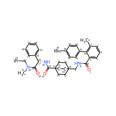 Cc1cccc(C(=O)NCC23CCC(C(=O)N[C@H](C(=O)N(C)CC(C)C)c4ccccc4)(CC2)CC3)c1-c1ccc(C(C)(C)C)cc1